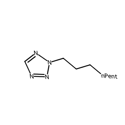 CCCCCCCCn1ncnn1